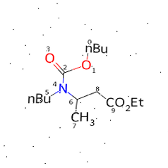 CCCCOC(=O)N(CCCC)C(C)CC(=O)OCC